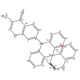 Cc1coc2cc(N3c4ccccc4C4(c5ccccc5Oc5ccccc54)c4ccccc43)ccc2c1=O